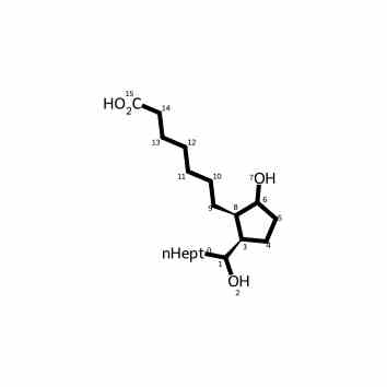 CCCCCCCC(O)[C@@H]1CCC(O)[C@@H]1CCCCCCC(=O)O